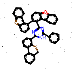 c1ccc(C2=NC(c3c(-c4cccc5sc6ccccc6c45)ccc4oc5ccccc5c34)=NC(c3cccc4c3SCc3ccccc3-4)N2)cc1